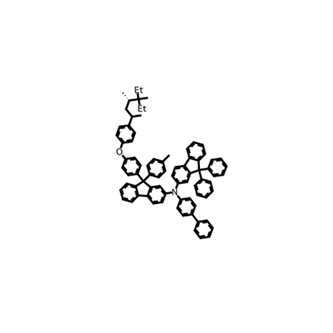 CCC(C)(CC)[C@@H](C)CC(C)c1ccc(Oc2ccc(C3(c4ccc(C)cc4)c4ccccc4-c4ccc(N(c5ccc(-c6ccccc6)cc5)c5ccc6c(c5)C(c5ccccc5)(c5ccccc5)c5ccccc5-6)cc43)cc2)cc1